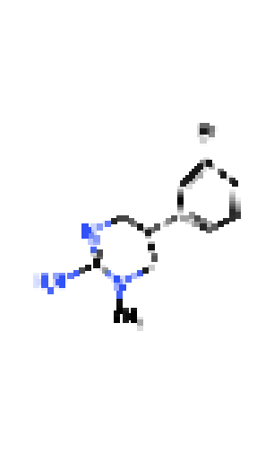 CCc1cccc(C2CN=C(N)N(C)C2)c1